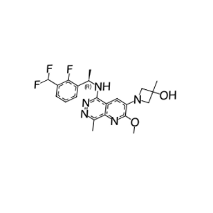 COc1nc2c(C)nnc(N[C@H](C)c3cccc(C(F)F)c3F)c2cc1N1CC(C)(O)C1